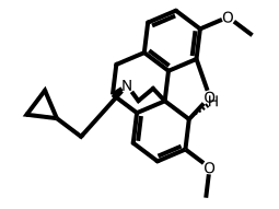 COC1=CC=C2C3Cc4ccc(OC)c5c4C2(CCN3CC2CC2)[C@H]1O5